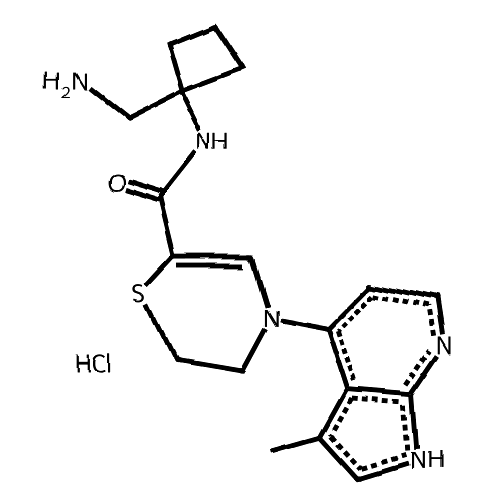 Cc1c[nH]c2nccc(N3C=C(C(=O)NC4(CN)CCC4)SCC3)c12.Cl